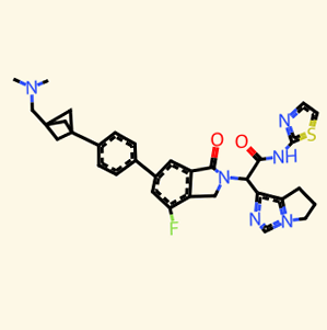 CN(C)CC12CC(c3ccc(-c4cc(F)c5c(c4)C(=O)N(C(C(=O)Nc4nccs4)c4ncn6c4CCC6)C5)cc3)(C1)C2